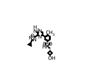 Cc1ccc(S(=O)(=O)NC[C@H]2C[C@H](O)C2)cc1-c1cnc(N)c(-c2nc(C3CC3)no2)n1